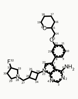 Nc1ncnc2c1c(-c1cccc(OCC3CCCCO3)c1)cn2C1CC(CN2CCC(F)C2)C1